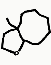 CC12CCCCCC1OCC2